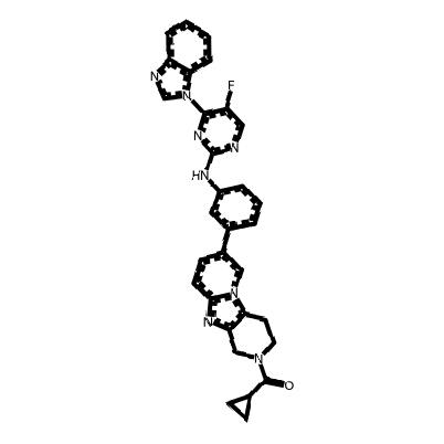 O=C(C1CC1)N1CCc2c(nc3ccc(-c4cccc(Nc5ncc(F)c(-n6cnc7ccccc76)n5)c4)cn23)C1